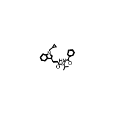 CC(C)N(NC(=O)c1ccccc1)C(=O)C=Cc1cn(CC2CC2)c2ccccc12